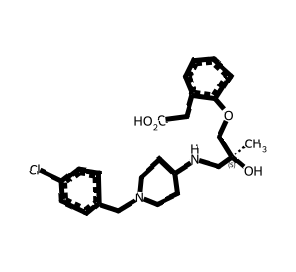 C[C@](O)(CNC1CCN(Cc2ccc(Cl)cc2)CC1)COc1ccccc1CC(=O)O